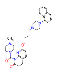 CN1CCN(C(=O)N2C(=O)CCc3ccc(OCCCCN4CCN(c5cccc6ccccc56)CC4)nc32)CC1